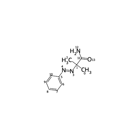 CC(C)(N=Nc1ccccc1)C(N)=O